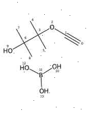 C#COC(C)(C)C(C)(C)O.OB(O)O